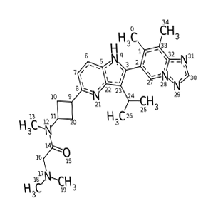 Cc1c(-c2[nH]c3ccc(C4CC(N(C)C(=O)CN(C)C)C4)nc3c2C(C)C)cn2ncnc2c1C